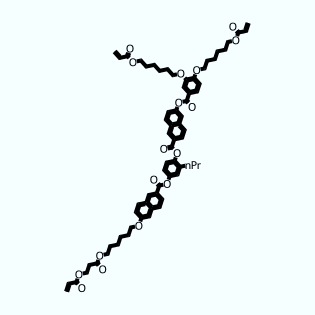 C=CC(=O)OCCCCCCOc1ccc(C(=O)Oc2ccc3cc(C(=O)Oc4ccc(OC(=O)c5ccc6cc(OCCCCCCOC(=O)CCOC(=O)C=C)ccc6c5)cc4CCC)ccc3c2)cc1OCCCCCCOC(=O)C=C